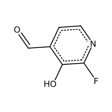 O=Cc1ccnc(F)c1O